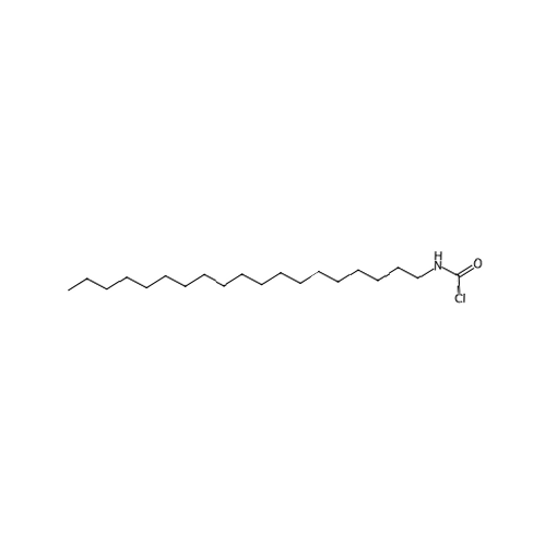 CCCCCCCCCCCCCCCCCCCNC(=O)Cl